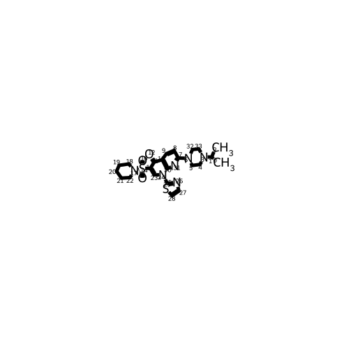 CC(C)N1CCN(c2ccc3c(=O)c(S(=O)(=O)N4CCCCC4)cn(-c4nccs4)c3n2)CC1